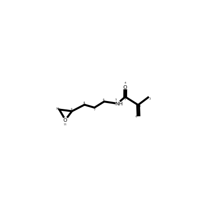 C=C(C)C(=O)NCCCC1CO1